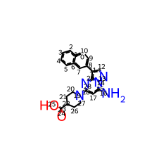 C=c1cccc/c1=C/C(=C\C)c1cnn2c(N)cc(N3CCC(C(=O)O)CC3)nc12